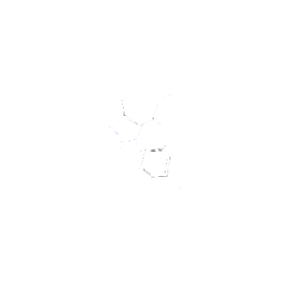 COC(=O)c1c(C)nnn1-c1ccc(Br)cc1